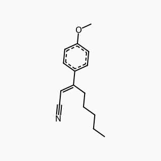 CCCCC/C(=C\C#N)c1ccc(OC)cc1